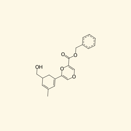 CC1=CC(CO)CC(C2=COC=C(C(=O)OCc3ccccc3)O2)=C1